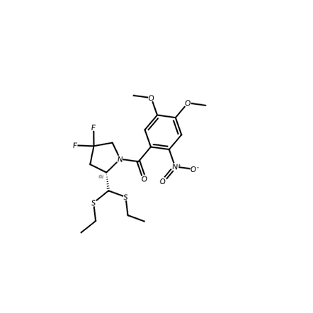 CCSC(SCC)[C@@H]1CC(F)(F)CN1C(=O)c1cc(OC)c(OC)cc1[N+](=O)[O-]